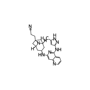 Cc1cc(Nc2nc(N[C@H]3C[C@@H]4CC5(CCC#N)C[C@H](C3)N45)cc3ncccc23)n[nH]1